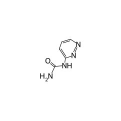 NC(=O)Nc1cccnn1